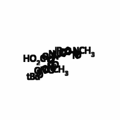 Cc1nc(-c2ccc3ccc(Cn4c(C(C)C)nc5c(OC(=O)O)cc(N(C6CCN(C(=O)OC(C)(C)C)CC6)S(C)(=O)=O)cc54)cc3c2)no1